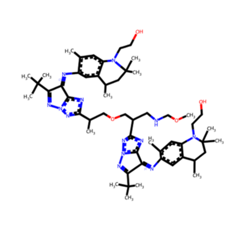 COCNCC(COCC(C)c1nc2n(n1)N=C(C(C)(C)C)/C2=N/c1cc2c(cc1C)N(CCO)C(C)(C)CC2C)c1nc2n(n1)N=C(C(C)(C)C)/C2=N/c1cc2c(cc1C)N(CCO)C(C)(C)CC2C